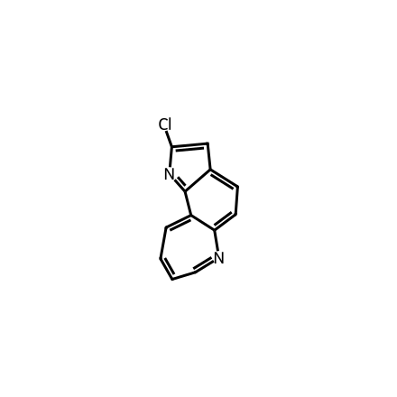 Clc1cc2ccc3nccccc3c2n1